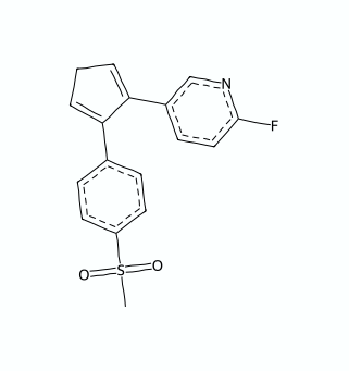 CS(=O)(=O)c1ccc(C2=CCC=C2c2ccc(F)nc2)cc1